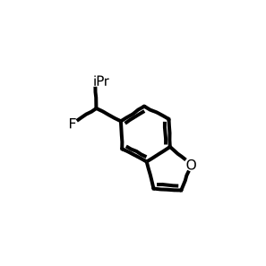 CC(C)C(F)c1ccc2occc2c1